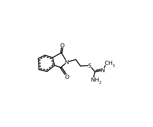 C/N=C(/N)SCCN1C(=O)c2ccccc2C1=O